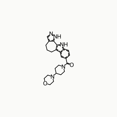 O=C(c1ccc2[nH]c3c(c2c1)CCCc1cn[nH]c1-3)N1CCC(N2CCOCC2)CC1